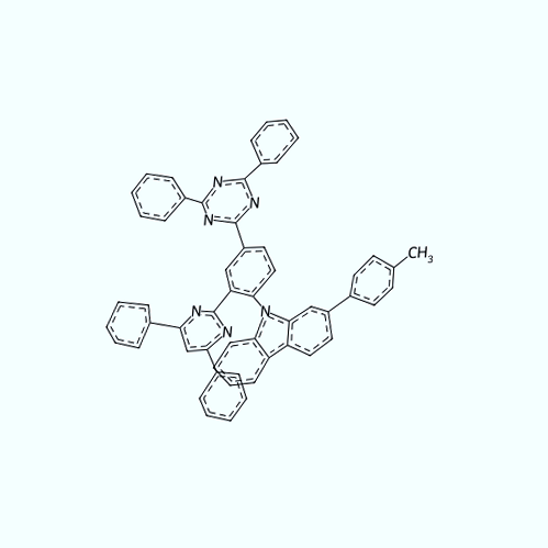 Cc1ccc(-c2ccc3c4ccccc4n(-c4ccc(-c5nc(-c6ccccc6)nc(-c6ccccc6)n5)cc4-c4nc(-c5ccccc5)cc(-c5ccccc5)n4)c3c2)cc1